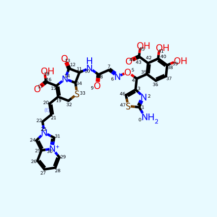 Nc1nc(C(ON=CC(=O)NC2C(=O)N3C(C(=O)O)=C(/C=C/Cn4cc5cccc[n+]5c4)CSC23)c2ccc(O)c(O)c2C(=O)O)cs1